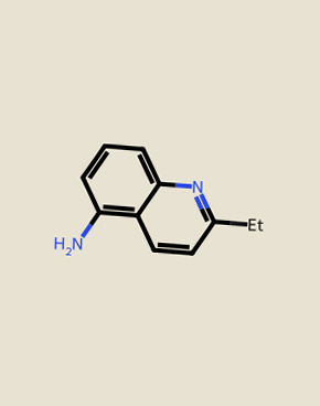 CCc1ccc2c(N)cccc2n1